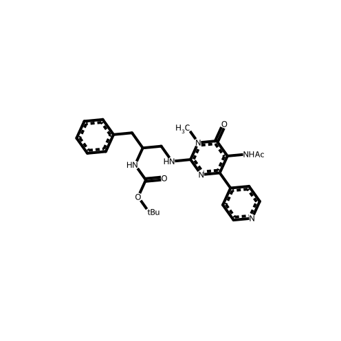 CC(=O)Nc1c(-c2ccncc2)nc(NCC(Cc2ccccc2)NC(=O)OC(C)(C)C)n(C)c1=O